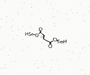 O=C(/C=C/C(=O)O[SeH])O[SeH]